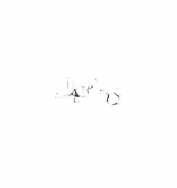 CC(=O)[C@H]1[C@@H]2CN(C(=O)OCc3ccccc3)C[C@@H]21